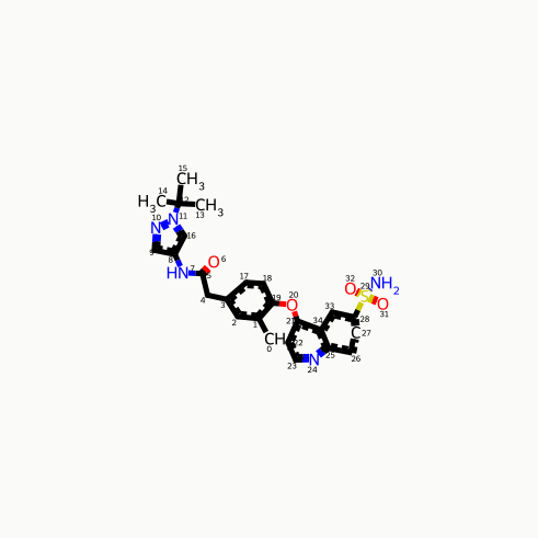 Cc1cc(CC(=O)Nc2cnn(C(C)(C)C)c2)ccc1Oc1ccnc2ccc(S(N)(=O)=O)cc12